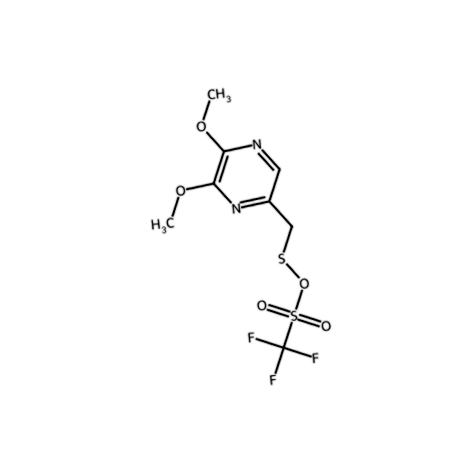 COc1ncc(CSOS(=O)(=O)C(F)(F)F)nc1OC